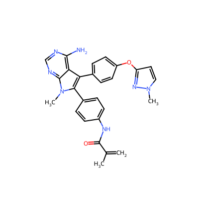 C=C(C)C(=O)Nc1ccc(-c2c(-c3ccc(Oc4ccn(C)n4)cc3)c3c(N)ncnc3n2C)cc1